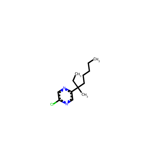 CCCCCC(C)(CC)c1cnc(Cl)cn1